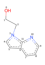 OCCn1ccc2c[c]cnc21